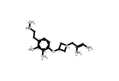 CBCCc1ccc(OC2CN(C/C(N)=C/N)C2)c(C)c1O